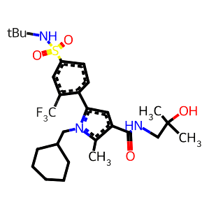 Cc1c(C(=O)NCC(C)(C)O)cc(-c2ccc(S(=O)(=O)NC(C)(C)C)cc2C(F)(F)F)n1CC1CCCCC1